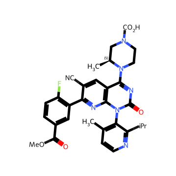 COC(=O)c1ccc(F)c(-c2nc3c(cc2C#N)c(N2CCN(C(=O)O)C[C@@H]2C)nc(=O)n3-c2c(C)ccnc2C(C)C)c1